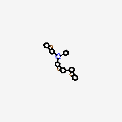 c1ccc(-c2nc(-c3ccc4c(c3)sc3ccccc34)nc(-c3ccc4sc5ccc(-c6cccc7c6sc6ccccc67)cc5c4c3)n2)cc1